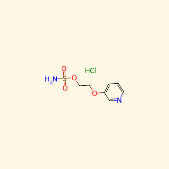 Cl.NS(=O)(=O)OCCOc1cccnc1